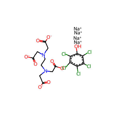 O=C([O-])CN(CCN(CC(=O)[O-])CC(=O)[O-])CC(=O)[O-].Oc1c(Cl)c(Cl)c(Cl)c(Cl)c1Cl.[Na+].[Na+].[Na+].[Na+]